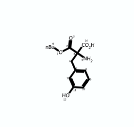 CCCCOC(=O)C(N)(Cc1cccc(O)c1)C(=O)O